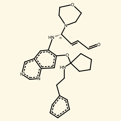 O=CC=C[C@H](Nc1cc2cncnc2cc1OC1(NCCc2ccccc2)CCCC1)N1CCOCC1